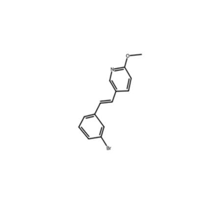 COc1ccc(C=Cc2cccc(Br)c2)cn1